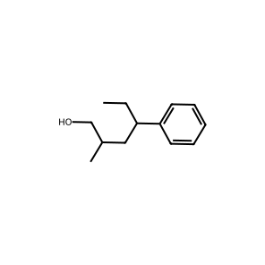 CCC(CC(C)CO)c1ccccc1